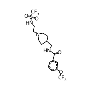 O=C(NCC1CCN(CCNS(=O)(=O)C(F)(F)F)CC1)c1cccc(OC(F)(F)F)c1